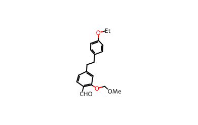 CCOc1ccc(CCc2ccc(C=O)c(OCOC)c2)cc1